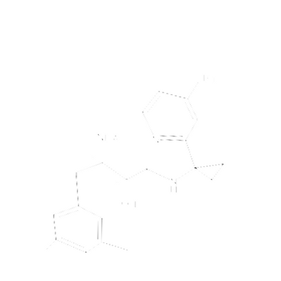 CC(=O)N[C@@H](Cc1cc(F)cc(F)c1)[C@@H](O)CNC1(c2cc(C(C)(C)C)ccn2)CC1